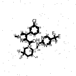 C[C@@H]1CC(F)(F)CN(C(=O)c2nn(C)cc2-c2cccc(Cl)c2)[C@@H]1CNc1ncc(C(F)(F)F)cn1